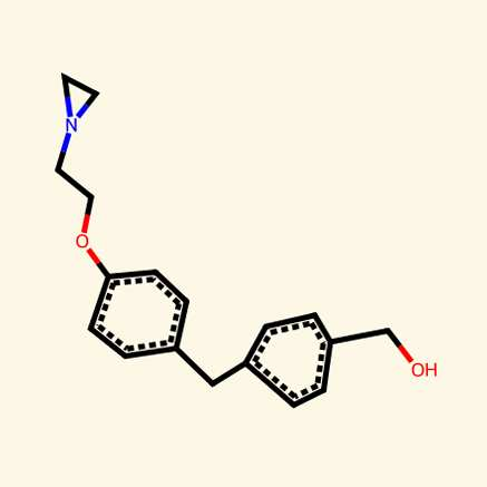 OCc1ccc(Cc2ccc(OCCN3CC3)cc2)cc1